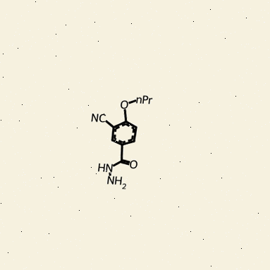 CCCOc1ccc(C(=O)NN)cc1C#N